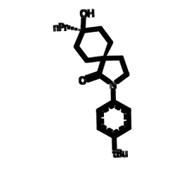 CCC[C@]1(O)CC[C@]2(CCN(c3ccc(C(C)(C)C)cc3)C2=O)CC1